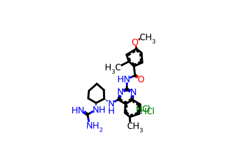 COc1ccc(C(=O)Nc2nc(N[C@H]3CCCC[C@H]3NC(=N)N)c3cc(C)ccc3n2)c(C)c1.Cl.Cl